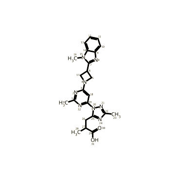 Cc1nc(N2CC(c3nc4ccccc4n3C)C2)cc(-n2nc(C)nc2CC(C)C(=O)O)n1